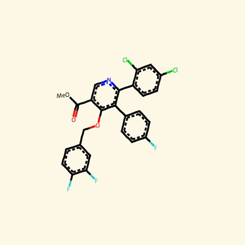 COC(=O)c1cnc(-c2ccc(Cl)cc2Cl)c(-c2ccc(F)cc2)c1OCc1ccc(F)c(F)c1